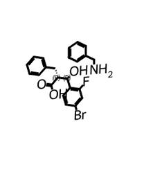 NCc1ccccc1.O=C(O)[C@H](Cc1ccccc1)[C@@H](O)c1ccc(Br)cc1F